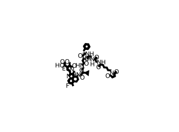 CC[C@@]1(O)C(=O)OCc2c1cc1n(c2=O)Cc2c-1nc1cc(F)c(C)c3c1c2[C@@H](NC(=O)[C@@H](OCNC(=O)CNC(=O)[C@H](Cc1ccccc1)NC(=O)CNC(=O)CNC(=O)CCCCCN1C(=O)C=CC1=O)C1CC1)CC3